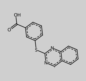 O=C(O)c1cccc(Sc2n[c]c3ccccc3n2)c1